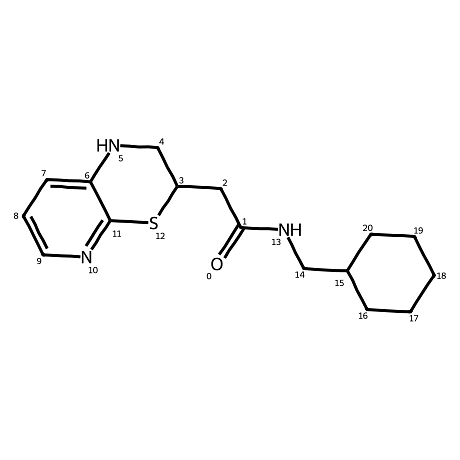 O=C(CC1CNc2cccnc2S1)NCC1CCCCC1